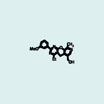 CCc1nc(-c2cccc(OC)c2)nc2c1Cc1c(CO)cnc(C)c1O2